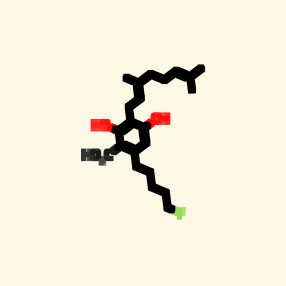 CC(C)=CCC/C(C)=C/Cc1c(O)cc(CCCCCF)c(C(=O)O)c1O